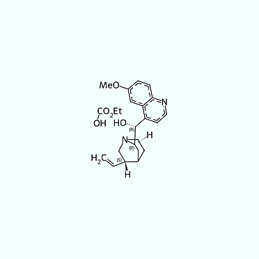 C=C[C@@H]1CN2CCC1C[C@@H]2[C@H](O)c1ccnc2ccc(OC)cc12.CCOC(=O)O